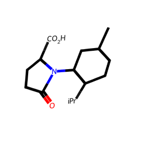 CC1CCC(C(C)C)C(N2C(=O)CCC2C(=O)O)C1